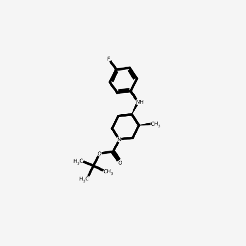 C[C@H]1CN(C(=O)OC(C)(C)C)CC[C@H]1Nc1ccc(F)cc1